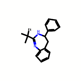 CCC(C)(C)C1=Nc2ccccc2CC(c2ccccc2)N1